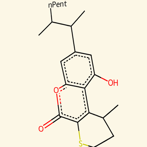 CCCCCC(C)C(C)c1cc(O)c2c3c(c(=O)oc2c1)SCCC3C